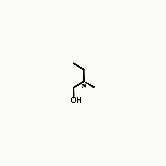 CC[C@@H](C)CO